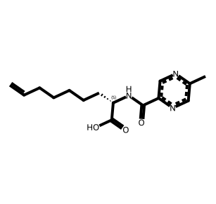 C=CCCCCC[C@H](NC(=O)c1cnc(C)cn1)C(=O)O